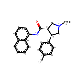 O=C(Nc1cccc2ccccc12)[C@@H]1CN(C(=O)O)C[C@H]1c1ccc(C(F)(F)F)cc1